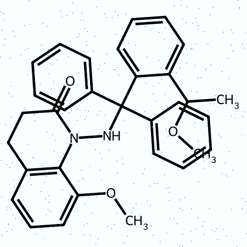 COc1cccc2c1N(NC(c1ccccc1)(c1ccccc1)c1ccccc1C(C)OC)C(=O)CC2